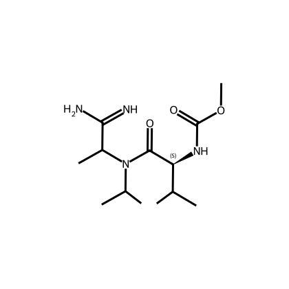 COC(=O)N[C@H](C(=O)N(C(C)C)C(C)C(=N)N)C(C)C